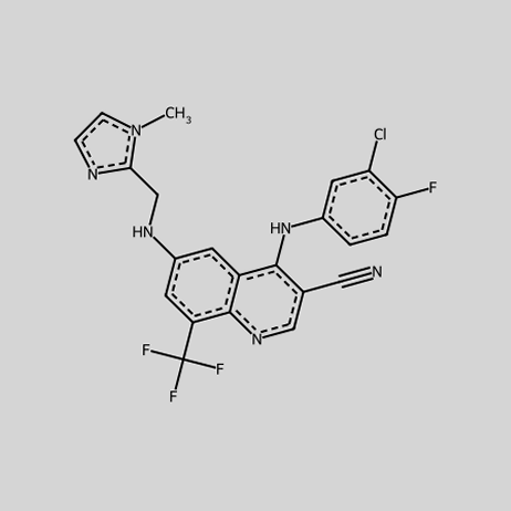 Cn1ccnc1CNc1cc(C(F)(F)F)c2ncc(C#N)c(Nc3ccc(F)c(Cl)c3)c2c1